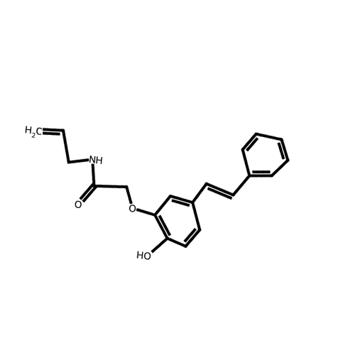 C=CCNC(=O)COc1cc(/C=C/c2ccccc2)ccc1O